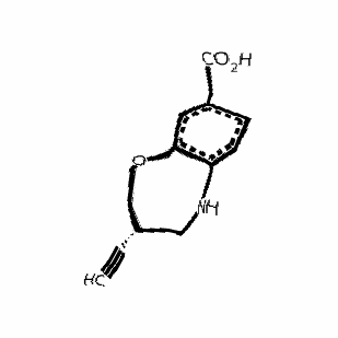 C#C[C@H]1CNc2ccc(C(=O)O)cc2OC1